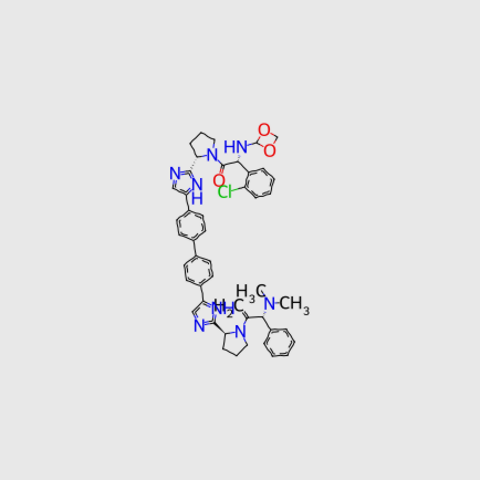 C=C([C@@H](c1ccccc1)N(C)C)N1CCC[C@H]1c1ncc(-c2ccc(-c3ccc(-c4cnc([C@@H]5CCCN5C(=O)[C@H](NC5OCO5)c5ccccc5Cl)[nH]4)cc3)cc2)[nH]1